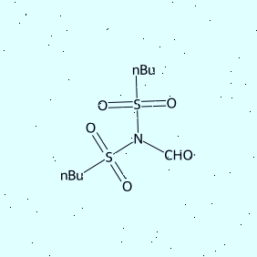 CCCCS(=O)(=O)N([C]=O)S(=O)(=O)CCCC